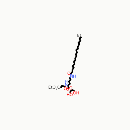 CCC=CCC=CCC=CCC=CCC=CCC=CCCC(=O)NCCCCC(NC(=O)C=CC(=O)OCC)C(=O)OC(CO)CO